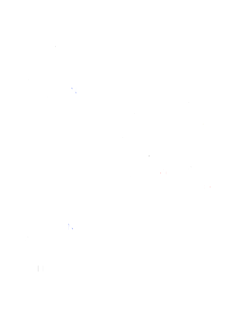 CCN(CC)c1ccc(C2(c3ccc(N(CC)CC)cc3)OC(=O)c3sc4ccccc4c32)cc1